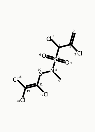 C=C(Cl)C(Cl)S(=O)(=O)N(C)SC(Cl)=C(Cl)Cl